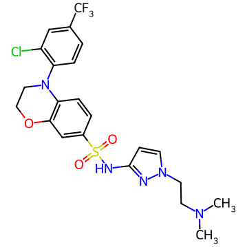 CN(C)CCn1ccc(NS(=O)(=O)c2ccc3c(c2)OCCN3c2ccc(C(F)(F)F)cc2Cl)n1